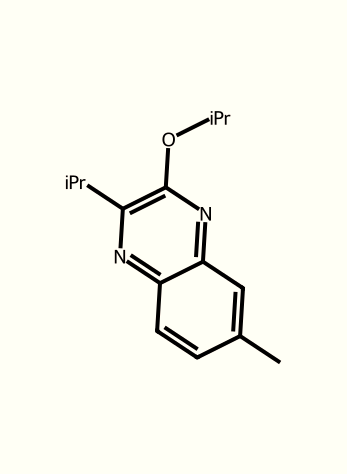 Cc1ccc2nc(C(C)C)c(OC(C)C)nc2c1